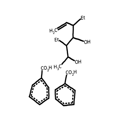 C=CC(CC)C(O)C(CC)C(C)O.O=C(O)c1ccccc1.O=C(O)c1ccccc1